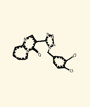 O=c1c(-c2nnnn2Cc2ccc(Cl)c(Cl)c2)cnc2ccccn12